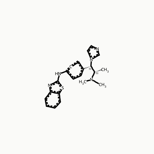 C[C@@H]([C@H](c1ccc(Nc2nc3ccccc3s2)cc1)n1ccnc1)N(C)C